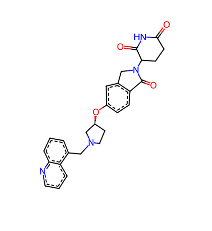 O=C1CCC(N2Cc3cc(O[C@H]4CCN(Cc5cccc6ncccc56)C4)ccc3C2=O)C(=O)N1